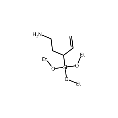 C=CC(CCN)[Si](OCC)(OCC)OCC